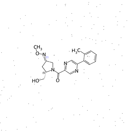 CO/N=C1\C[C@@H](CO)N(C(=O)c2cnc(-c3ccccc3C)cn2)C1